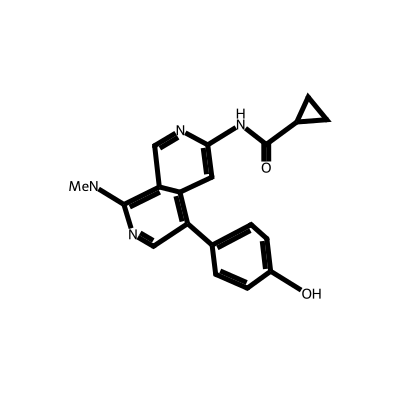 CNc1ncc(-c2ccc(O)cc2)c2cc(NC(=O)C3CC3)ncc12